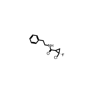 O=C(NCCc1ccccc1)C1C[C@@]1(F)Cl